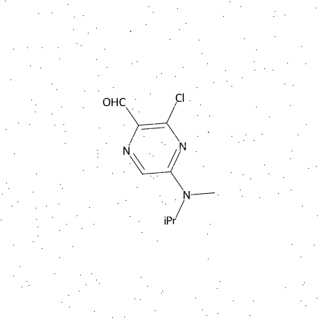 CC(C)N(C)c1cnc(C=O)c(Cl)n1